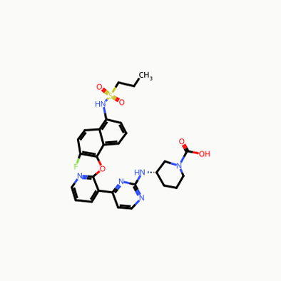 CCCS(=O)(=O)Nc1cccc2c(Oc3ncccc3-c3ccnc(N[C@H]4CCCN(C(=O)O)C4)n3)c(F)ccc12